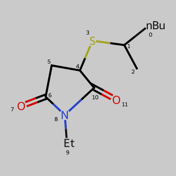 CCCCC(C)SC1CC(=O)N(CC)C1=O